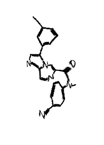 Cc1cccc(-c2cnc3cnc(C(=O)N(C)c4ccc(C#N)cc4)cn23)c1